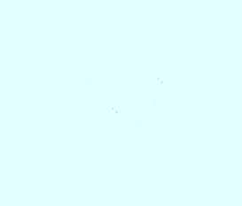 OC1(c2ccc3ccccc3n2)C=CC=N1